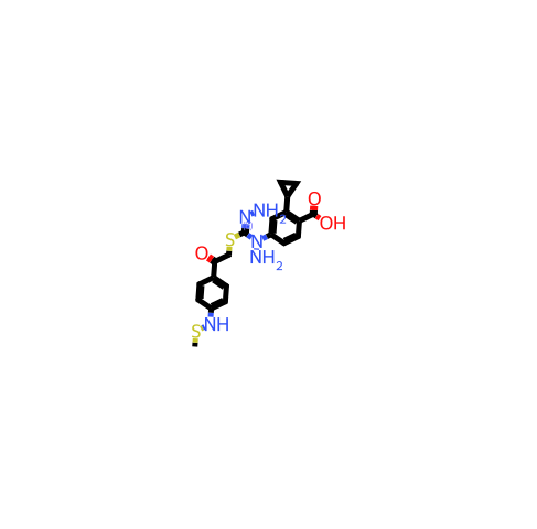 CSNc1ccc(C(=O)CS/C(=N/N)N(N)c2ccc(C(=O)O)c(C3CC3)c2)cc1